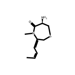 C/C=C\C=C1/CSC[C@H](N)C(=O)N1C